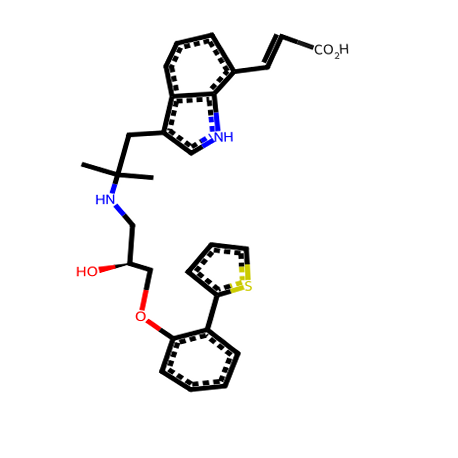 CC(C)(Cc1c[nH]c2c(/C=C/C(=O)O)cccc12)NC[C@H](O)COc1ccccc1-c1cccs1